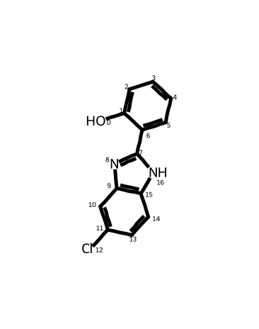 Oc1ccccc1-c1nc2cc(Cl)ccc2[nH]1